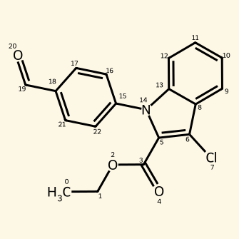 CCOC(=O)c1c(Cl)c2ccccc2n1-c1ccc(C=O)cc1